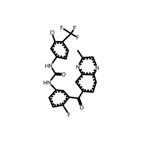 Cc1cnc2ccc(C(=O)c3cc(NC(=O)Nc4ccc(C(F)(F)F)c(Cl)c4)ccc3F)cc2n1